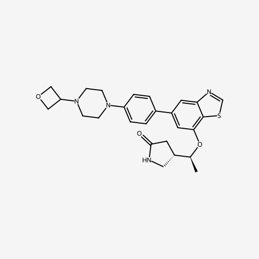 C[C@H](Oc1cc(-c2ccc(N3CCN(C4COC4)CC3)cc2)cc2ncsc12)[C@@H]1CNC(=O)C1